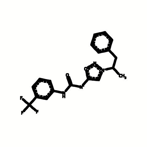 CC(Cc1ccccc1)[n+]1cc([N-]C(=O)Nc2cccc(C(F)(F)F)c2)on1